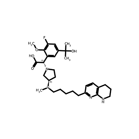 COc1c(F)cc(C(C)(C)O)cc1[C@@H](C(=O)O)N1CC[C@@H](N(C)CCCCCc2ccc3c(n2)NCCC3)C1